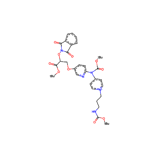 CC(C)(C)OC(=O)NCCC[n+]1ccc(N(C(=O)OC(C)(C)C)c2ccc(OCC(ON3C(=O)c4ccccc4C3=O)C(=O)OC(C)(C)C)cn2)cc1